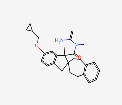 C=C(N)N(C)C(=O)C1(C)c2cc(OCC3CC3)ccc2CC12CCc1ccccc1CC2